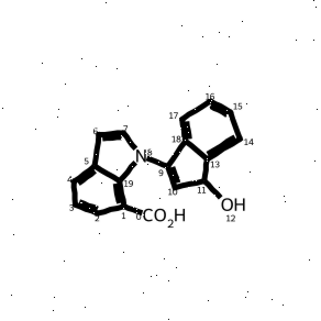 O=C(O)c1cccc2ccn(C3=CC(O)c4ccccc43)c12